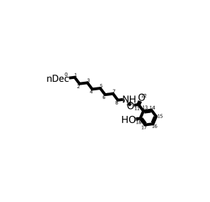 CCCCCCCCCCCCCCCCCCNOC(=O)c1ccccc1O